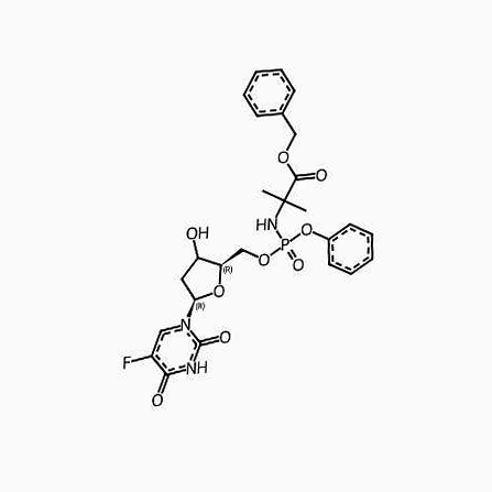 CC(C)(NP(=O)(OC[C@H]1O[C@@H](n2cc(F)c(=O)[nH]c2=O)CC1O)Oc1ccccc1)C(=O)OCc1ccccc1